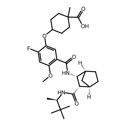 COc1cc(F)c(OC2CCC(C)(C(=O)O)CC2)cc1C(=O)N[C@@H]1[C@H]2CC[C@H](C2)[C@@H]1C(=O)N[C@H](C)C(C)(C)C